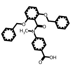 CN(C(=O)c1c(OCc2ccccc2)cccc1OCc1ccccc1)c1ccc(C(=O)O)cc1